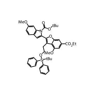 CCOC(=O)c1cc(OC)c2c(CCO[Si](c3ccccc3)(c3ccccc3)C(C)(C)C)c(-c3cc4ccc(OC)cc4n3C(=O)OC(C)(C)C)oc2c1